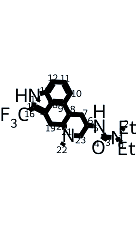 CCN(CC)C(=O)NC1CC2c3cccc4[nH]c(C(F)(F)F)c(c34)CC2N(C)C1